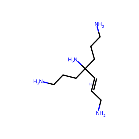 NC/C=C/C(N)(CCCN)CCCN